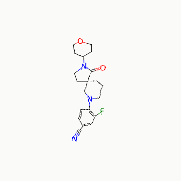 N#Cc1ccc(N2CCC[C@@]3(CCN(C4CCOCC4)C3=O)C2)c(F)c1